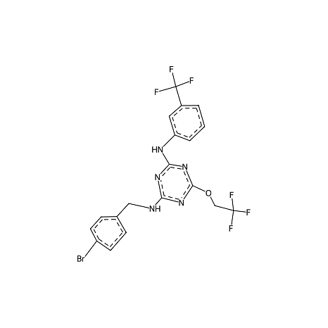 FC(F)(F)COc1nc(NCc2ccc(Br)cc2)nc(Nc2cccc(C(F)(F)F)c2)n1